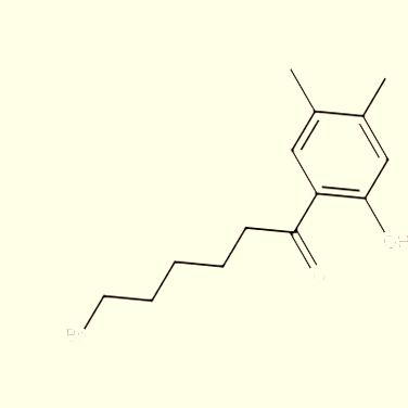 Cc1cc(O)c(C(=O)CCCCCBr)cc1C